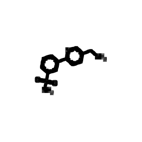 NCc1ccc(-c2cccc(S(N)(=O)=O)c2)nc1